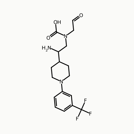 NC(CN(CC=O)C(=O)O)C1CCN(c2cccc(C(F)(F)F)c2)CC1